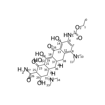 CCOC(=O)Nc1cc(N(C)C)c2c(c1O)C(=O)C1=C(O)[C@]3(O)C(=O)C(C(N)=O)C(O)[C@@H](N(C)C)[C@@H]3C[C@@H]1C2